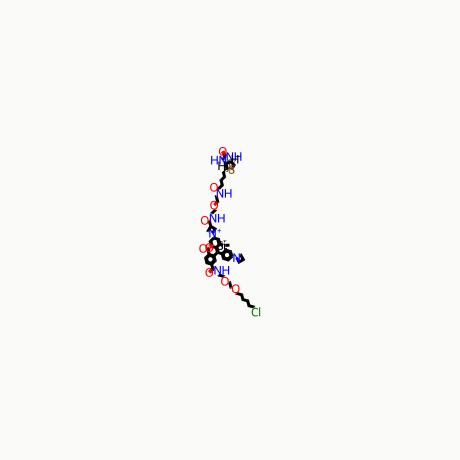 C[Si]1(C)C2=CC(=[N+]3CC(C(=O)NCCOCCNC(=O)CCCC[C@@H]4SC[C@@H]5NC(=O)N[C@@H]54)C3)C=CC2=C(c2cc(C(=O)NCCOCCOCCCCCCCl)ccc2C(=O)[O-])c2ccc(N3CCC3)cc21